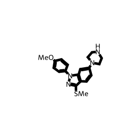 COc1ccc(-n2nc(SC)c3ccc(N4CCNCC4)cc32)cc1